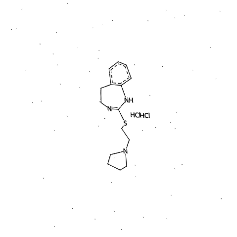 Cl.Cl.c1ccc2c(c1)CCN=C(SCCN1CCCC1)N2